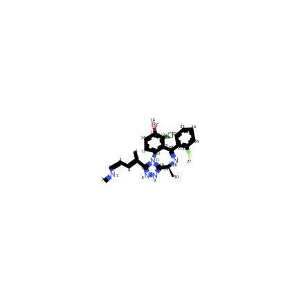 C=N/C=C\C=C(/C)c1nnc2n1-c1ccc(Br)c(Cl)c1C(c1ccccc1F)=N[C@H]2C